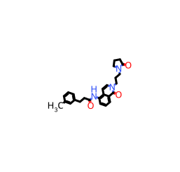 Cc1cccc(CCC(=O)Nc2cccc3c(=O)n(CCCN4CCCC4=O)ccc23)c1